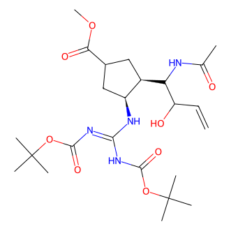 C=CC(O)C(NC(C)=O)[C@@H]1CC(C(=O)OC)C[C@@H]1NC(=NC(=O)OC(C)(C)C)NC(=O)OC(C)(C)C